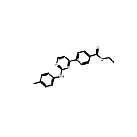 CCOC(=O)c1ccc(-c2ccnc(Nc3ccc(C)cc3)n2)cc1